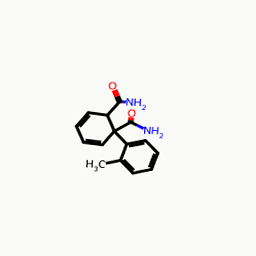 Cc1ccccc1C1(C(N)=O)C=CC=CC1C(N)=O